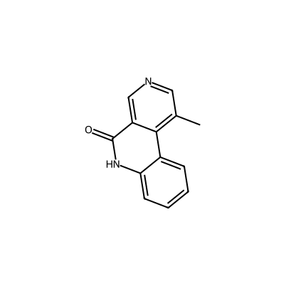 Cc1cncc2c(=O)[nH]c3ccccc3c12